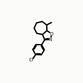 CC1CCCCC2C(c3ccc(Cl)cc3)=NOC12